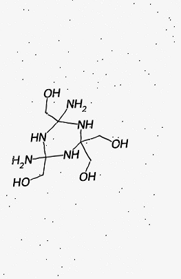 NC1(CO)NC(N)(CO)NC(CO)(CO)N1